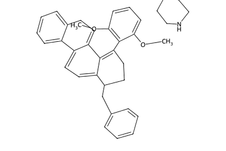 C1CCNCC1.COc1cccc(OC)c1C1=c2c(ccc3c2=CCc2ccccc2-3)C(Cc2ccccc2)CC1